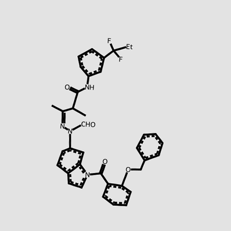 CCC(F)(F)c1cccc(NC(=O)C(C)/C(C)=N\N(C=O)c2ccc3ccn(C(=O)c4ccccc4OCc4ccccc4)c3c2)c1